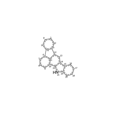 c1ccc2c(c1)-c1cccc3c1c-2cc1c2ccccc2[nH]c31